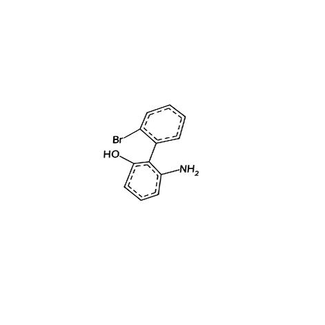 Nc1cccc(O)c1-c1ccccc1Br